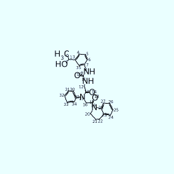 CC(O)c1cccc(NC(=O)NCC(=O)N(CC(=O)N2CCCc3ccccc32)c2ccccc2)c1